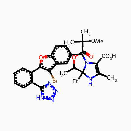 CCC1(C(C)OC(=O)C(C)(C)OC)NC(C)=C(C(=O)O)N1Cc1ccc2oc(-c3ccccc3-c3nnn[nH]3)c(Br)c2c1